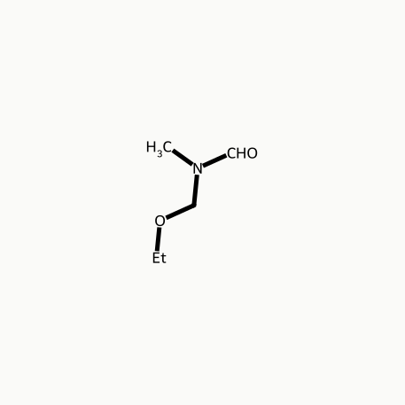 CCOCN(C)C=O